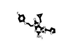 Nc1nc2c(c3nc(-c4ccco4)nn13)n(CC1CC1)c(=O)n2CCOc1ccc(F)cc1